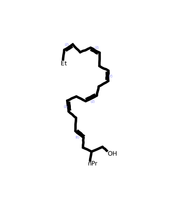 CC/C=C\C/C=C\C/C=C\C/C=C\C/C=C\C/C=C/CC(CO)CCC